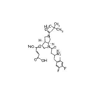 CC(C)(C)CC(=O)N1C[C@@H]2CCN(C(=O)CC(N)Cc3cc(F)c(F)cc3F)[C@@H]2C1.O=C(O)C=CC(=O)O